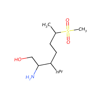 CCCC(CCC(C)S(C)(=O)=O)C(N)CO